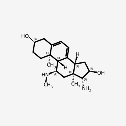 CN[C@@H]1C[C@@]2(C)[C@@H](C[C@@H](O)[C@@H]2N)C2=CC=C3C[C@@H](O)CC[C@]3(C)[C@H]21